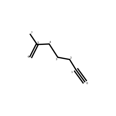 C#CCCCC(=C)C